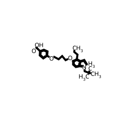 CCCc1c(OCCCCOc2ccc(C(=O)O)cc2)ccc2c1ccn2CC(C)(C)C